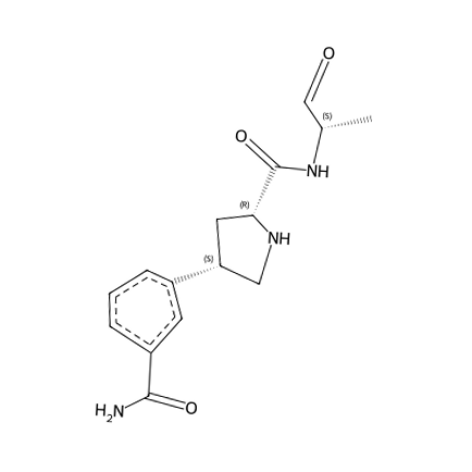 C[C@@H](C=O)NC(=O)[C@H]1C[C@@H](c2cccc(C(N)=O)c2)CN1